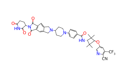 CC1(C)[C@H](NC(=O)c2ccc(N3CCC(N4Cc5cc6c(cc5C4)C(=O)N(C4CCC(=O)NC4=O)C6=O)CC3)cc2)C(C)(C)[C@H]1Oc1cnc(C#N)c(C(F)(F)F)c1